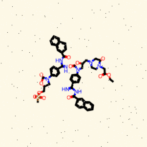 CCOC(=O)CN1CCN(CC2CN(c3ccc(C(=N)NC(=O)c4ccc5ccccc5c4)cc3)C(=O)O2)CC1=O.CS(=O)(=O)OCC1CN(c2ccc(C(=N)NC(=O)c3ccc4ccccc4c3)cc2)C(=O)O1